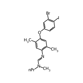 CCCN(C)/C=N/c1cc(C)c(Oc2ccc(I)c(Br)c2)cc1C